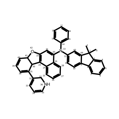 CC1(C)c2ccccc2-c2ccc(N(c3ccccc3)c3cc4c(c5ccccc35)C3C(C5=CC=CNC5)=CC=CC3O4)cc21